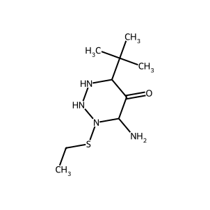 CCSN1NNC(C(C)(C)C)C(=O)C1N